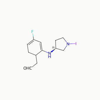 O=CCC1CC=C(F)C=C1N[C@H]1CCN(I)C1